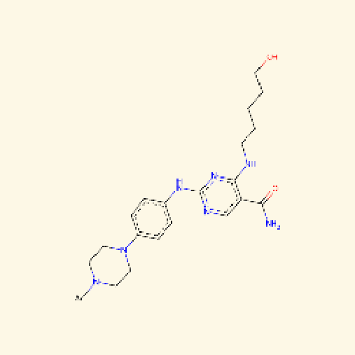 CC(=O)N1CCN(c2ccc(Nc3ncc(C(N)=O)c(NCCCCCO)n3)cc2)CC1